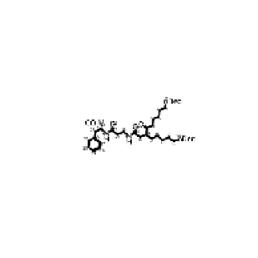 CCCCCCCCCCCCCCCC(=O)C(CCCCCCCCCCCCCCC)CC(=O)NCCC(=O)N[C@@H](Cc1ccccc1)C(=O)O